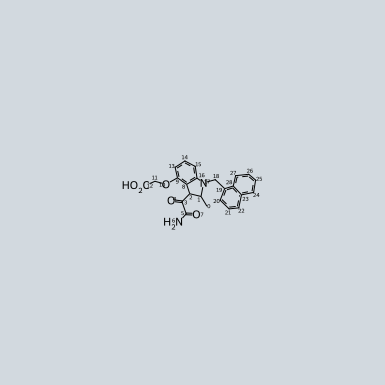 CC1C(C(=O)C(N)=O)c2c(OCC(=O)O)cccc2N1Cc1cccc2ccccc12